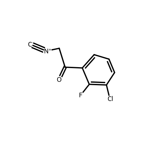 [C-]#[N+]CC(=O)c1cccc(Cl)c1F